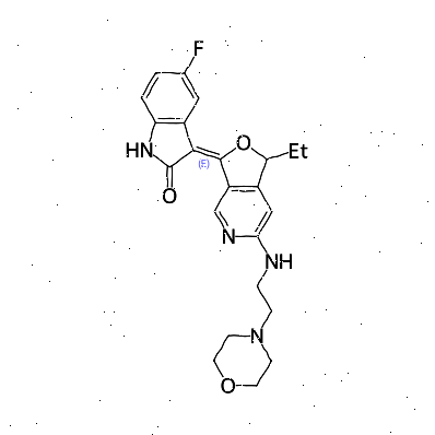 CCC1O/C(=C2/C(=O)Nc3ccc(F)cc32)c2cnc(NCCN3CCOCC3)cc21